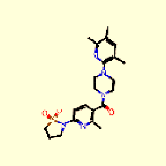 Cc1cc(C)c(N2CCN(C(=O)c3ccc(N4CCCS4(=O)=O)nc3C)CC2)nc1C